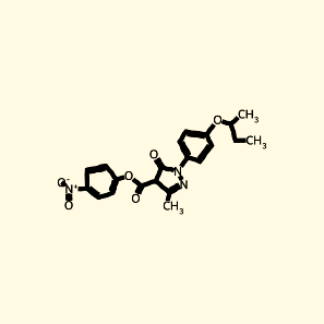 CCC(C)Oc1ccc(N2N=C(C)C(C(=O)Oc3ccc([N+](=O)[O-])cc3)C2=O)cc1